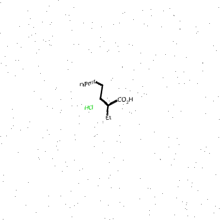 CCCCCCCC(CC)C(=O)O.Cl